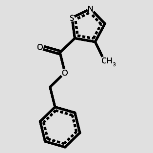 Cc1cnsc1C(=O)OCc1ccccc1